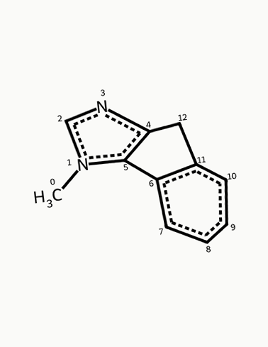 Cn1cnc2c1-c1ccccc1C2